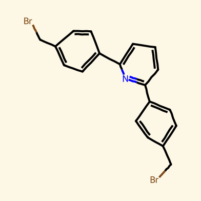 BrCc1ccc(-c2cccc(-c3ccc(CBr)cc3)n2)cc1